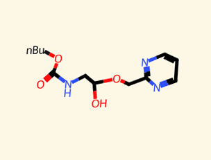 CCCCOC(=O)NCC(O)OCc1ncccn1